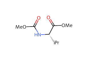 COC(=O)N[C@H](C(=O)OC)C(C)C